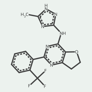 Cc1nc(Nc2nc(-c3ccccc3C(F)(F)F)nc3c2OCC3)n[nH]1